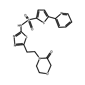 O=C1COCCN1CCc1nnc(NS(=O)(=O)c2ccc(-c3ccccn3)s2)s1